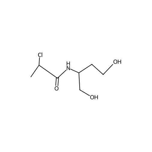 CC(Cl)C(=O)NC(CO)CCO